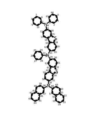 c1ccc(N(c2ccccc2)c2ccc3c(c2)sc2ccc(N(c4ccccc4)c4ccc5sc6cc(N(c7ccc8ccccc8c7)c7ccc8ccccc8c7)ccc6c5c4)cc23)cc1